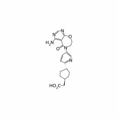 Nc1ncnc2c1C(=O)N(c1ccc([C@H]3CC[C@H](CC(=O)O)CC3)nc1)CCO2